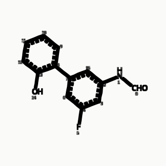 O=CNc1cc(F)cc(-c2cc[c]cc2O)c1